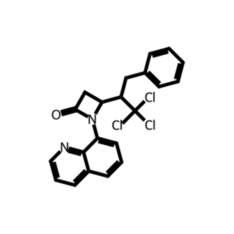 O=C1CC(C(Cc2ccccc2)C(Cl)(Cl)Cl)N1c1cccc2cccnc12